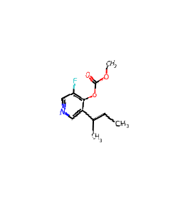 CCC(C)c1cncc(F)c1OC(=O)OC